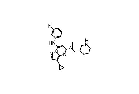 Fc1cccc(Nc2cc(NC[C@H]3CCCNC3)nc3c(C4CC4)cnn23)c1